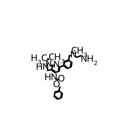 CC(C)N1NCc2c(NC(=O)OCc3ccccc3)cc(-c3cccc(CN(C)CCN)c3)nc21